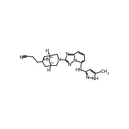 Cc1cc(Nc2cccc3nc(N4C[C@H]5CC(CCC#N)C[C@@H](C4)N5)nn23)n[nH]1